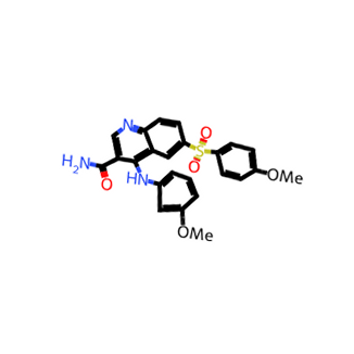 COc1ccc(S(=O)(=O)c2ccc3ncc(C(N)=O)c(Nc4cccc(OC)c4)c3c2)cc1